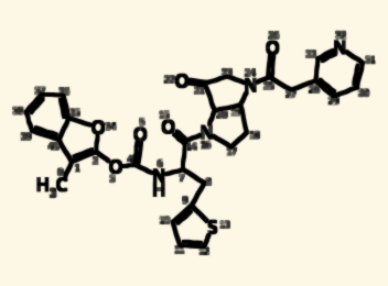 Cc1c(OC(=O)NC(Cc2cccs2)C(=O)N2CCC3C2C(=O)CN3C(=O)Cc2cccnc2)oc2ccccc12